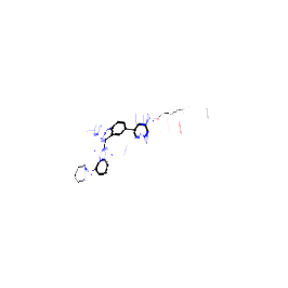 CCCCC(O)Nc1cncc(-c2ccc3[nH]nc(-c4nc5c(N6CCCCC6)cccc5[nH]4)c3c2)c1